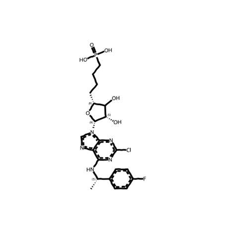 C[C@H](Nc1nc(Cl)nc2c1ncn2[C@@H]1O[C@H](CCCCP(=O)(O)O)C(O)[C@@H]1O)c1ccc(F)cc1